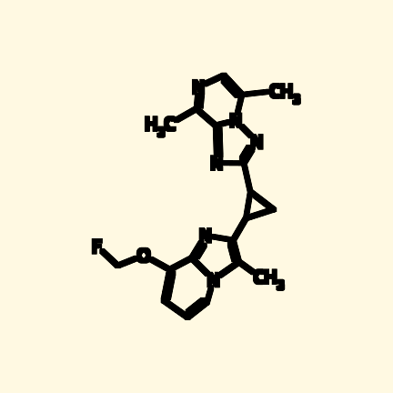 Cc1ncc(C)n2nc(C3CC3c3nc4c(OCF)cccn4c3C)nc12